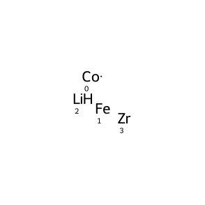 [Co].[Fe].[LiH].[Zr]